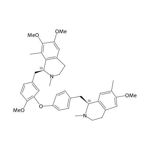 COc1cc2c(cc1C)[C@H](Cc1ccc(Oc3cc(C[C@H]4c5c(cc(OC)c(OC)c5C)CCN4C)ccc3OC)cc1)N(C)CC2